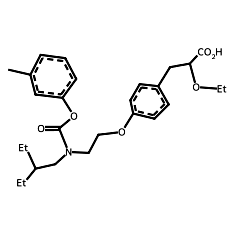 CCOC(Cc1ccc(OCCN(CC(CC)CC)C(=O)Oc2cccc(C)c2)cc1)C(=O)O